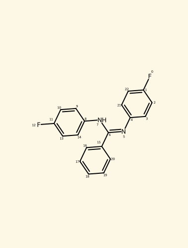 Fc1ccc(N=C(Nc2ccc(F)cc2)c2ccccc2)cc1